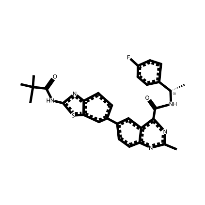 Cc1nc(C(=O)N[C@@H](C)c2ccc(F)cc2)c2cc(-c3ccc4nc(NC(=O)C(C)(C)C)sc4c3)ccc2n1